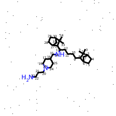 CC1(C)C2CCC(C2)C1CCCCC(NCC1CCN(CCCN)CC1)C1C2CCC(C2)C1(C)C